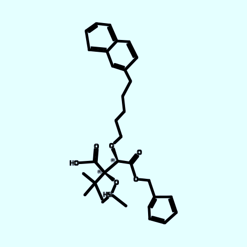 C[SiH](C)O[C@@](C(=O)O)([C@@H](OCCCCCc1ccc2ccccc2c1)C(=O)OCc1ccccc1)C(C)(C)C